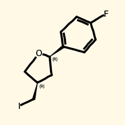 Fc1ccc([C@H]2C[C@@H](CI)CO2)cc1